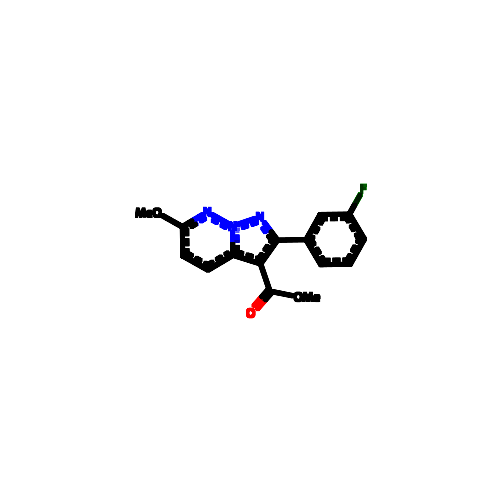 COC(=O)c1c(-c2cccc(F)c2)nn2nc(OC)ccc12